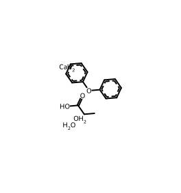 CCC(=O)O.O.O.[CaH2].c1ccc(Oc2ccccc2)cc1